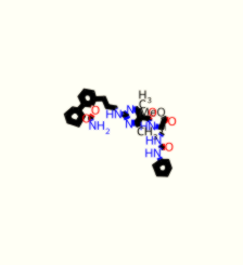 COC(=O)[C@H](CNC(=O)Nc1ccccc1)NC(=O)c1c(C)nc(NCCCc2cccc(-c3ccccc3)c2OC(N)=O)nc1C